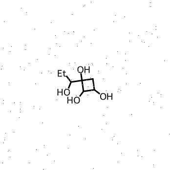 CCC(O)C1(O)CC(O)C1O